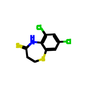 S=C1CCSc2cc(Cl)cc(Cl)c2N1